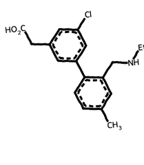 CCNCc1cc(C)ccc1-c1cc(Cl)cc(CC(=O)O)c1